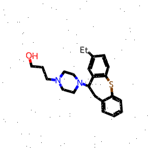 CCc1ccc2c(c1)C(N1CCN(CCCO)CC1)Cc1ccccc1S2